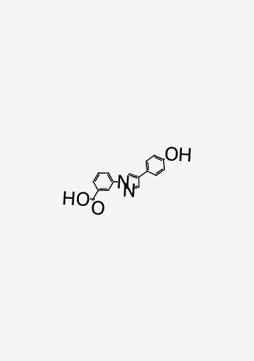 O=C(O)c1cccc(-n2cc(-c3ccc(O)cc3)cn2)c1